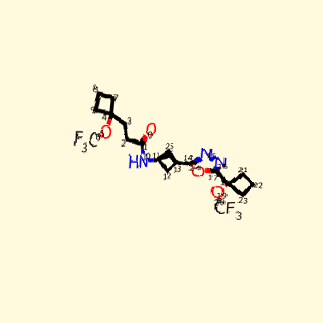 O=C(CCC1(OC(F)(F)F)CCC1)NC12CC(c3nnc(C4(OC(F)(F)F)CCC4)o3)(C1)C2